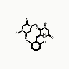 CC(=O)N1CC(=O)N(C(C)=O)CC1=O.CC(=O)N1CC(=O)N/C(=C\c2c(Cl)cccc2Cl)C1=O